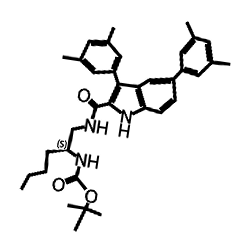 CCCC[C@@H](CNC(=O)c1[nH]c2ccc(-c3cc(C)cc(C)c3)cc2c1-c1cc(C)cc(C)c1)NC(=O)OC(C)(C)C